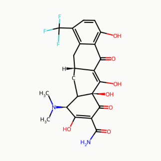 CN(C)[C@@H]1C(O)=C(C(N)=O)C(=O)[C@@]2(O)C(O)=C3C(=O)c4c(O)ccc(C(F)(F)F)c4C[C@H]3CC12